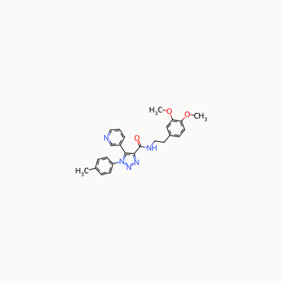 COc1ccc(CCNC(=O)c2nnn(-c3ccc(C)cc3)c2-c2cccnc2)cc1OC